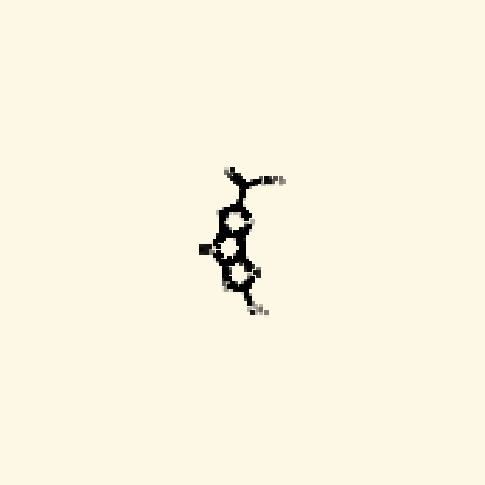 COC(=O)c1cc2[nH]c3sc(C)nc3c2s1